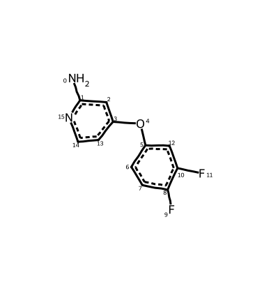 Nc1cc(Oc2ccc(F)c(F)c2)ccn1